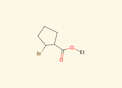 CCOC(=O)C1CCCC1Br